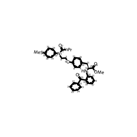 CCCC(=O)N(CCOc1ccc(C[C@H](Nc2ccccc2C(=O)c2ccccc2)C(=O)OC)cc1)c1ccc(SC)cc1